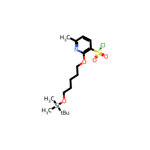 Cc1ccc(S(=O)(=O)Cl)c(OCCCCCO[Si](C)(C)C(C)(C)C)n1